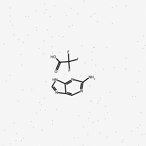 Nc1ncc2nc[nH]c2n1.O=C(O)C(F)(F)F